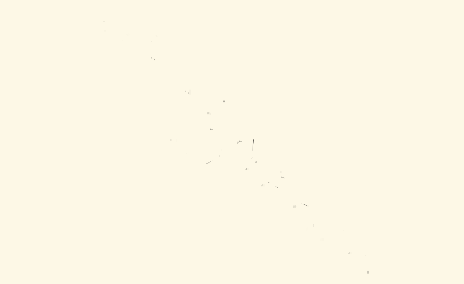 CC(C)C1=C2[C@H]3CC[C@@H]4[C@@]5(C)CC[C@H](OC(=O)[C@H]6C[C@@H](C(=O)O)C6(C)C)C(C)(C)[C@@H]5CC[C@@]4(C)[C@]3(C)CC[C@@]2([C@@H](O)CNCCNC(=O)c2ccc(Cl)cc2)CC1=O